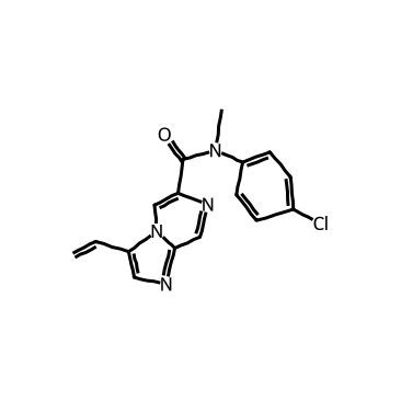 C=Cc1cnc2cnc(C(=O)N(C)c3ccc(Cl)cc3)cn12